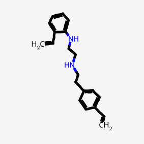 C=Cc1ccc(CCNCCNc2ccccc2C=C)cc1